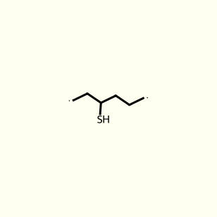 [CH2]CCC(S)C[CH2]